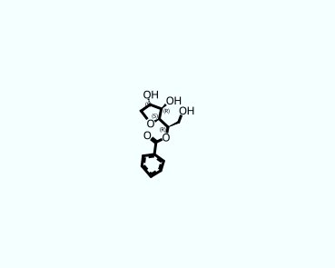 O=C(O[C@H](CO)[C@H]1OC[C@H](O)[C@H]1O)c1ccccc1